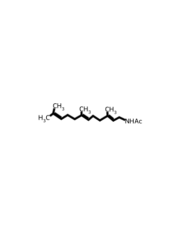 CC(=O)NC/C=C(\C)CC/C=C(\C)CCC=C(C)C